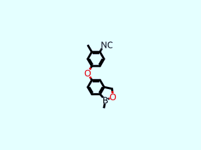 [C-]#[N+]c1ccc(Oc2ccc3c(c2)COB3C)cc1C